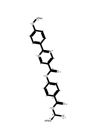 CCCCCCCCCCOc1ccc(-c2ncc(C(=O)Oc3ccc(C(=O)O[C@H](CCCCCC)C(F)(F)F)cc3)cn2)cc1